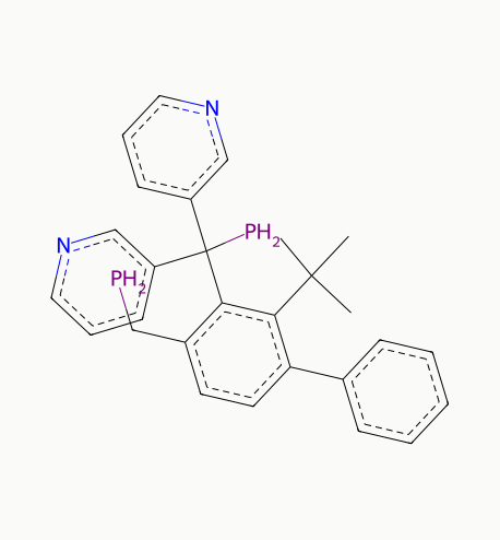 CC(C)(C)c1c(-c2ccccc2)ccc(CP)c1C(P)(c1cccnc1)c1cccnc1